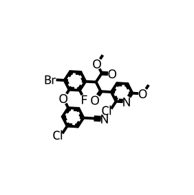 COC(=O)C(C(=O)c1ccc(OC)nc1Cl)c1ccc(Br)c(Oc2cc(Cl)cc(C#N)c2)c1F